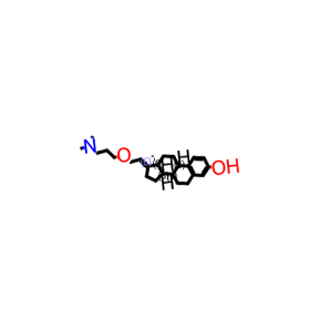 CN(C)CCCOC/C=C1\CC[C@H]2[C@@H]3CCc4cc(O)ccc4[C@H]3CC[C@]12C